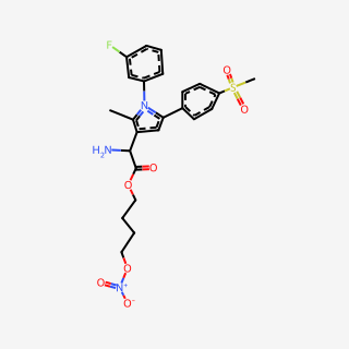 Cc1c(C(N)C(=O)OCCCCO[N+](=O)[O-])cc(-c2ccc(S(C)(=O)=O)cc2)n1-c1cccc(F)c1